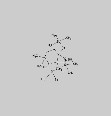 CC([SiH3])C1(O[Si](C)(C)C)O[Si](C)(C)CCC1(O[Si](C)(C)C)O[Si](C)(C)C